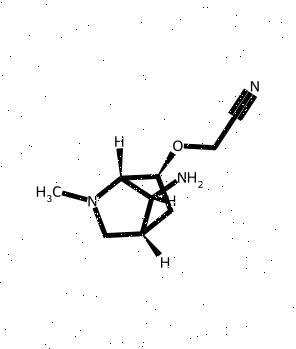 CN1C[C@H]2C[C@H](OCC#N)[C@@H]1[C@@H]2N